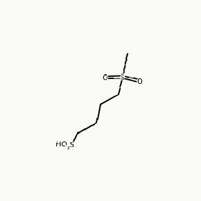 CS(=O)(=O)CCCCS(=O)(=O)O